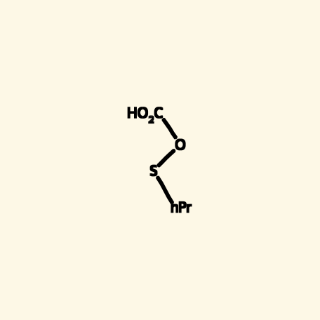 CCCSOC(=O)O